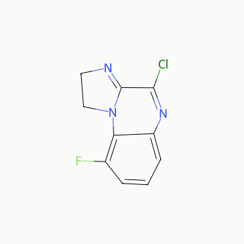 Fc1cccc2c1N1CCN=C1C(Cl)=N2